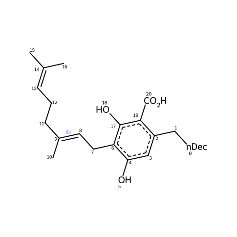 CCCCCCCCCCCc1cc(O)c(C/C=C(\C)CCC=C(C)C)c(O)c1C(=O)O